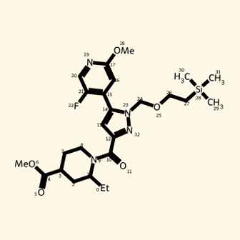 CCC1CC(C(=O)OC)CCN1C(=O)c1cc(-c2cc(OC)ncc2F)n(COCC[Si](C)(C)C)n1